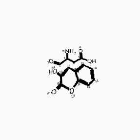 NC(C=O)CC(=O)O.O=c1oc2ccccc2cc1O